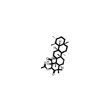 CC(=O)OC1C(=O)C(C)(C)[C@@H]2CC[C@]3(C)[C@H](CC[C@@H]4[C@@H]5[C@@H](C)[C@H](C)CC[C@]5(C)CC[C@]43C)[C@@]2(C)C1(O)C(=O)O